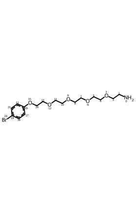 NCCOCCOCCOCCOCCOc1ccc(Br)cc1